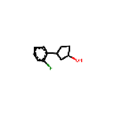 OC1CCC(c2ccccc2F)C1